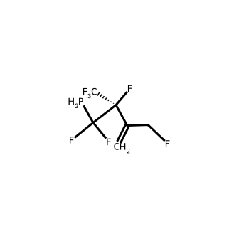 C=C(CF)[C@@](F)(C(F)(F)F)C(F)(F)P